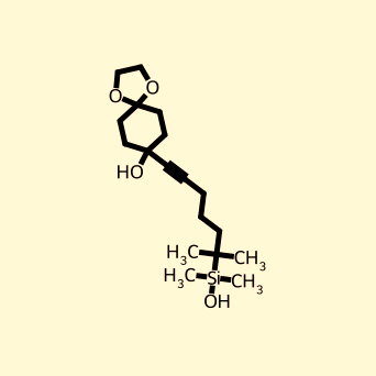 CC(C)(CCCC#CC1(O)CCC2(CC1)OCCO2)[Si](C)(C)O